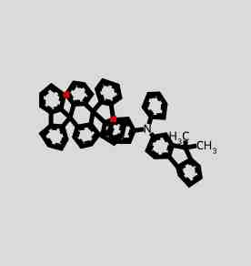 CC1(C)c2ccccc2-c2ccc(N(c3ccccc3)c3ccc(-c4cccc5c4C4(c6ccccc6-c6ccccc64)c4ccccc4C54c5ccccc5-c5ccccc54)cc3)cc21